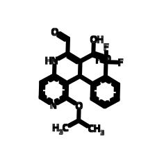 CC(C)Oc1nccc2c1C(c1ccccc1C(F)(F)F)C(C(=O)O)=C(C=O)N2